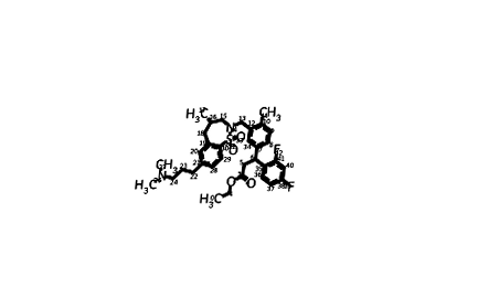 CCOC(=O)CC(c1ccc(C)c(CN2CC(C)Cc3cc(CCCN(C)C)ccc3S2(=O)=O)c1)c1ccc(F)cc1F